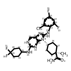 C[C@]1(C(N)=O)CC[C@H](n2c(Nc3c(F)cc(F)cc3Cl)nc3cnc(NC4CCC(F)(F)CC4)nc32)CC1